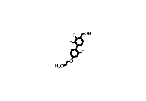 C=CCOc1ccc(-c2ccc(CO)c(F)c2F)c(F)c1